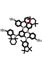 Cc1cc2c(cc1N1c3cc(C(C)(C)C)ccc3B3c4cc5c(cc4N(c4ccc(C(C)(C)C)cc4-c4ccccc4)c4cc(N6c7ccc(C(C)(C)C)cc7C7(C)CCCCC67C)cc1c43)C(C)(C)CCC5(C)C)C(C)(C)CC2(C)C